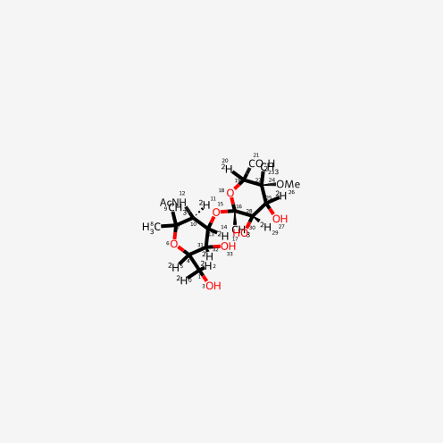 [2H]C([2H])(O)C1([2H])OC(C)(C)[C@@]([2H])(NC(C)=O)C([2H])(O[C@]2(C)OC([2H])(C(=O)O)[C@@](C)(OC)C([2H])(O)[C@]2([2H])O)[C@]1([2H])O